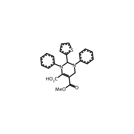 COC(=O)C1=C(C(=O)O)N(c2ccccc2)C(c2cccs2)N(c2ccccc2)C1